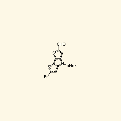 CCCCCCn1c2cc(Br)sc2c2sc(C=O)cc21